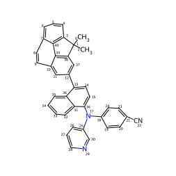 CC1(C)c2cccc3ccc4cc(-c5ccc(N(c6ccc(C#N)cc6)c6cccnc6)c6ccccc56)cc1c4c23